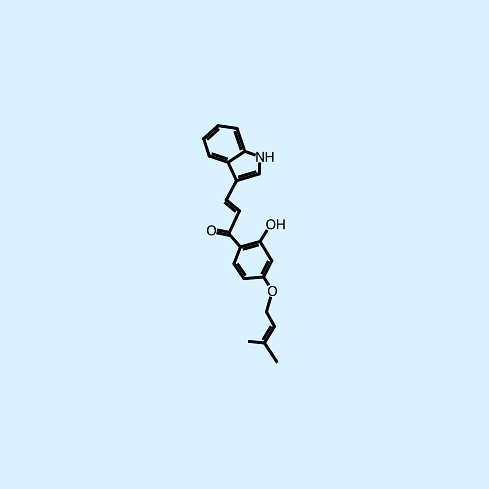 CC(C)=CCOc1ccc(C(=O)C=Cc2c[nH]c3ccccc23)c(O)c1